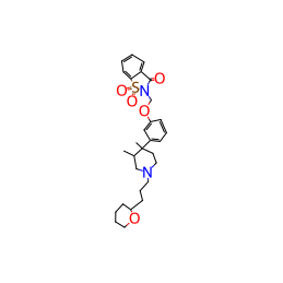 CC1CN(CCCC2CCCCO2)CCC1(C)c1cccc(OCN2C(=O)c3ccccc3S2(=O)=O)c1